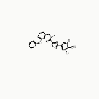 CN(Cc1cccc(Oc2ccccc2)c1)C(=O)c1nc(-c2cc(Cl)c(O)c(Cl)c2)no1